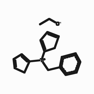 C1=CC[C]([Ti+]([CH2]c2ccccc2)[C]2=CC=CC2)=C1.CC[O-]